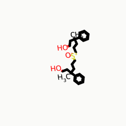 CC(CCO)(CCC[S+]([O-])CCCC(C)(CCO)c1ccccc1)c1ccccc1